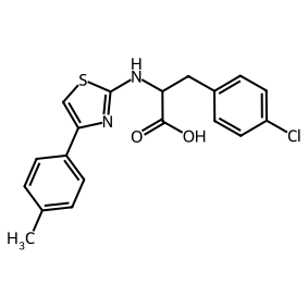 Cc1ccc(-c2csc(NC(Cc3ccc(Cl)cc3)C(=O)O)n2)cc1